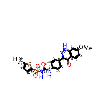 COc1ccc2c(=O)c(-c3ccc(NC(=O)NS(=O)(=O)c4ccc(C)s4)cc3)n[nH]c2c1